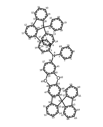 c1ccc(N(c2ccc(-c3cccc4c3C(c3ccccc3)(c3ccccc3)c3ccccc3-4)cc2)c2ccc3c(c2)Oc2cc4c(cc2O3)-c2ccccc2C42c3ccccc3-c3ccccc32)cc1